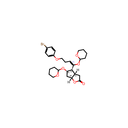 O=C1C[C@H]2[C@H](/C(=C\CCOc3ccc(Br)cc3)OC3CCCCO3)[C@H](OC3CCCCO3)C[C@H]2O1